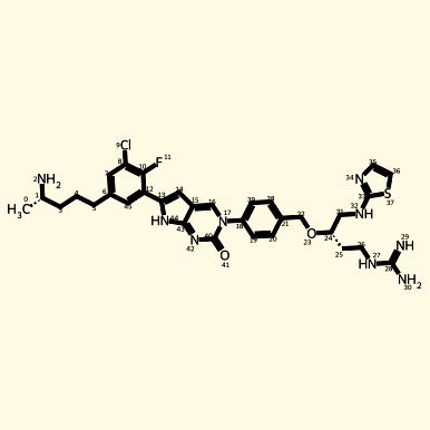 C[C@H](N)CCCc1cc(Cl)c(F)c(-c2cc3cn(-c4ccc(CO[C@@H](CCNC(=N)N)CNc5nccs5)cc4)c(=O)nc3[nH]2)c1